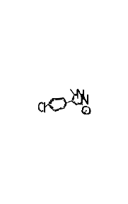 COc1cc(-c2ccc(Cl)cc2)c(C)nn1